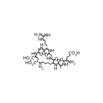 C[C@H](NC(=O)[C@H](CCCNC(=N)N)NC(=O)CNC(=O)[C@H](CCCCN)NC(=O)[C@H](C)NC(=O)[C@@H](N)CCC(=O)O)C(=O)N[C@@H](CCC(=O)O)C(=O)O